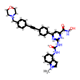 Cn1ccc2c(NC(=O)Nc3nc(C(=O)NO)cc(-c4ccc(C#Cc5ccc(CN6CCOCC6)cc5)cc4)n3)cccc21